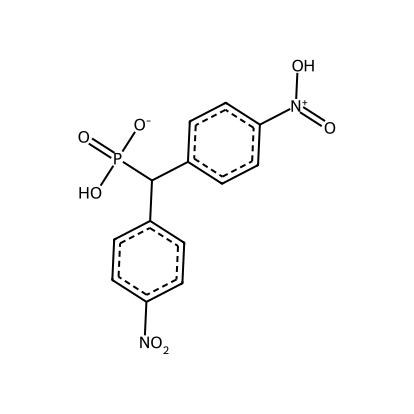 O=[N+]([O-])c1ccc(C(c2ccc([N+](=O)O)cc2)P(=O)([O-])O)cc1